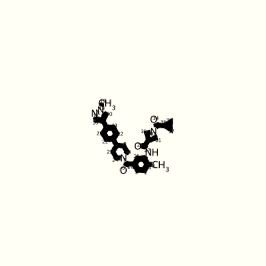 Cc1ccc(C(=O)N2CCC(c3ccc(-c4cnn(C)c4)cc3)CC2)cc1NC(=O)C1CN(C(=O)C2CC2)C1